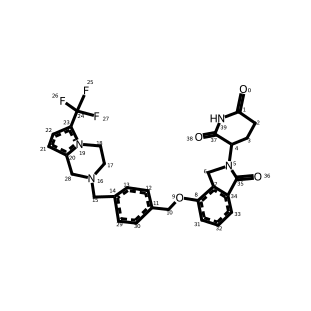 O=C1CCC(N2Cc3c(OCc4ccc(CN5CCn6c(ccc6C(F)(F)F)C5)cc4)cccc3C2=O)C(=O)N1